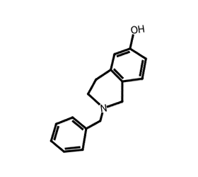 Oc1ccc2c(c1)CCN(Cc1ccccc1)C2